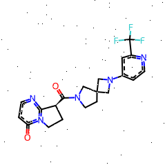 O=C([C@H]1CCn2c1nccc2=O)N1CCC2(C1)CN(c1ccnc(C(F)(F)F)c1)C2